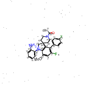 COc1cc(F)c(-c2ccc(F)cc2)c2c1N(c1ccccc1N)CC21CCN(C(=O)C(C)(C)C)CC1